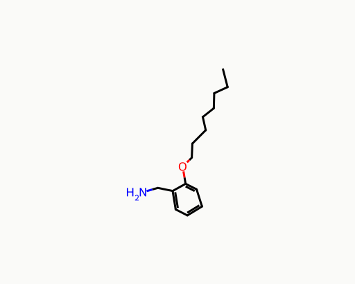 CCCCCCCCOc1ccccc1CN